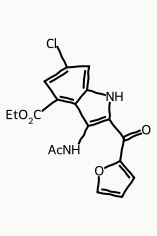 CCOC(=O)c1cc(Cl)cc2[nH]c(C(=O)c3ccco3)c(NC(C)=O)c12